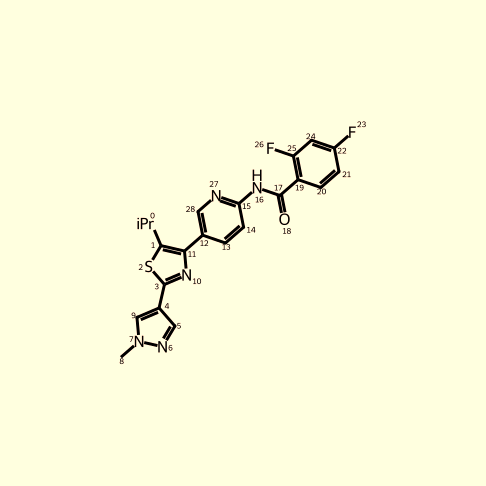 CC(C)c1sc(-c2cnn(C)c2)nc1-c1ccc(NC(=O)c2ccc(F)cc2F)nc1